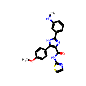 CNc1cccc(-c2nc(C(=O)Nc3nccs3)c(-c3ccc(OC)cc3)[nH]2)c1